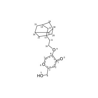 O=c1cc(CO)occ1OCCC12CC3CC(CC(C3)C1)C2